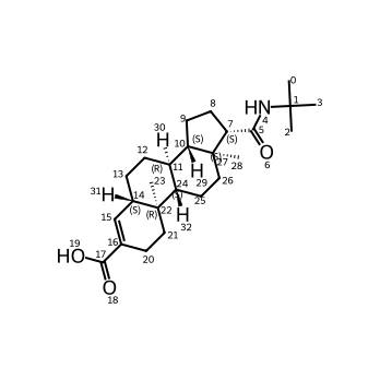 CC(C)(C)NC(=O)[C@H]1CC[C@H]2[C@@H]3CC[C@H]4C=C(C(=O)O)CC[C@]4(C)[C@H]3CC[C@]12C